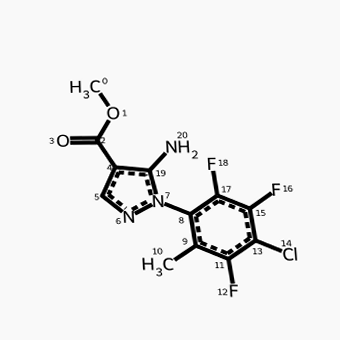 COC(=O)c1cnn(-c2c(C)c(F)c(Cl)c(F)c2F)c1N